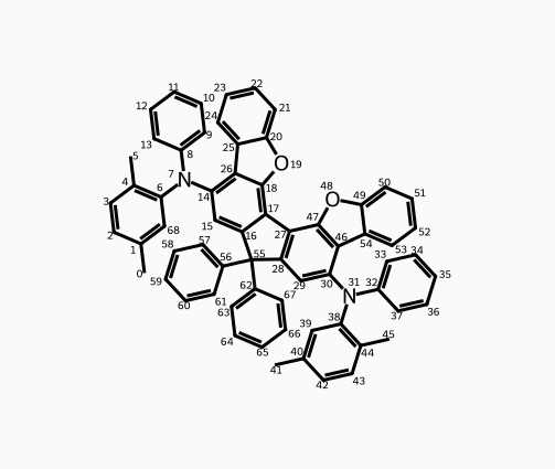 Cc1ccc(C)c(N(c2ccccc2)c2cc3c(c4oc5ccccc5c24)-c2c(cc(N(c4ccccc4)c4cc(C)ccc4C)c4c2oc2ccccc24)C3(c2ccccc2)c2ccccc2)c1